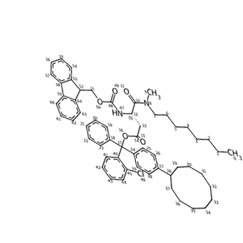 CCCCCCCCN(C)C(=O)[C@H](CC(=O)OC(c1ccccc1)(c1ccc(C2CCCCCCCCC2)cc1)c1ccccc1Cl)NC(=O)OCC1c2ccccc2-c2ccccc21